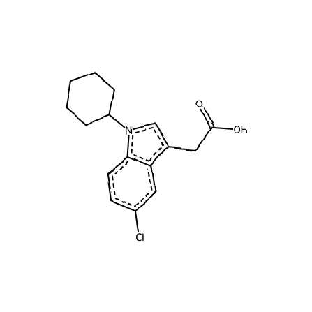 O=C(O)Cc1cn(C2CCCCC2)c2ccc(Cl)cc12